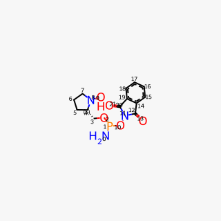 NP(OC[C@@H]1CCCN1O)ON1C(=O)c2ccccc2C1=O